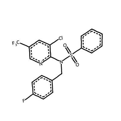 O=S(=O)(c1ccccc1)N(Cc1ccc(F)cc1)c1ncc(C(F)(F)F)cc1Cl